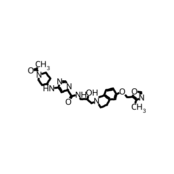 CC(=O)N1CCC(Nc2cc(C(=O)NCC(O)CN3CCc4cc(OCc5ocnc5C)ccc4C3)ncn2)CC1